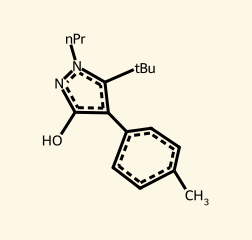 CCCn1nc(O)c(-c2ccc(C)cc2)c1C(C)(C)C